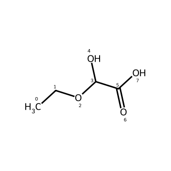 CCOC(O)C(=O)O